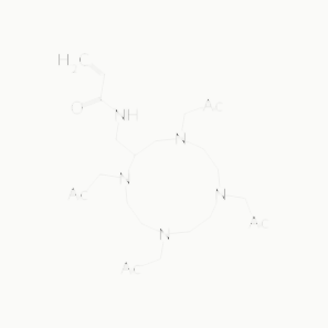 C=CC(=O)NCC1CN(CC(C)=O)CCN(CC(C)=O)CCN(CC(C)=O)CCN1CC(C)=O